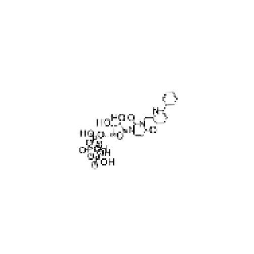 O=c1ccn([C@@H]2O[C@H](COP(=O)(O)OP(=O)(O)OP(=O)(O)O)C(O)C2O)c(=O)n1Cc1cccc(-c2ccccc2)n1